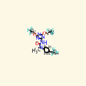 CN(C(=O)Nc1nc(OCC(F)(F)F)nc(OCC(F)(F)F)n1)c1ccc(C(F)(F)F)cc1